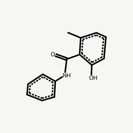 Cc1cccc(O)c1C(=O)Nc1ccccc1